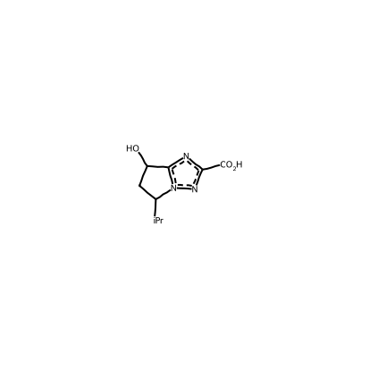 CC(C)C1CC(O)c2nc(C(=O)O)nn21